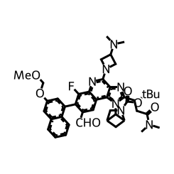 COCOc1cc(-c2c(C=O)cc3c(nc(N4CC(N(C)C)C4)c4nc(CCC(=O)N(C)C)n(C5C6CC5N(C(=O)OC(C)(C)C)C6)c43)c2F)c2ccccc2c1